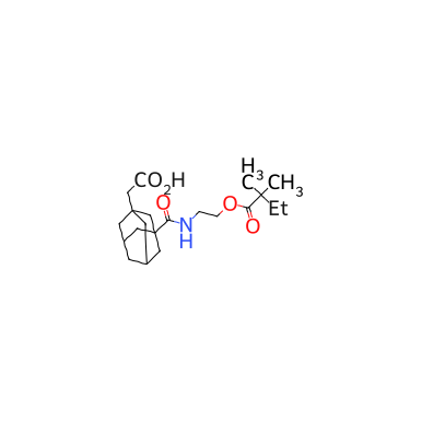 CCC(C)(C)C(=O)OCCNC(=O)C12CC3CC(CC(CC(=O)O)(C3)C1)C2